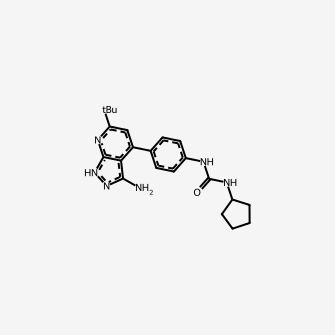 CC(C)(C)c1cc(-c2ccc(NC(=O)NC3CCCC3)cc2)c2c(N)n[nH]c2n1